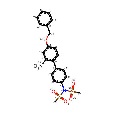 CS(=O)(=O)N(c1ccc(-c2ccc(OCc3ccccc3)cc2[N+](=O)[O-])cc1)S(C)(=O)=O